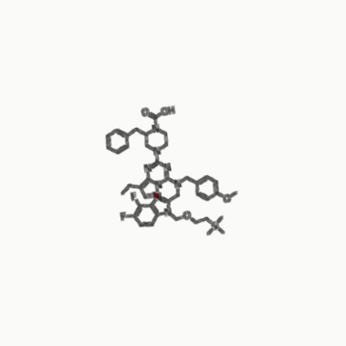 CCc1cnn2c(N(Cc3ccc(OC)cc3)Cc3nc4c(F)c(F)ccc4n3COCC[Si](C)(C)C)nc(N3CCN(C(=O)O)C(Cc4ccccc4)C3)nc12